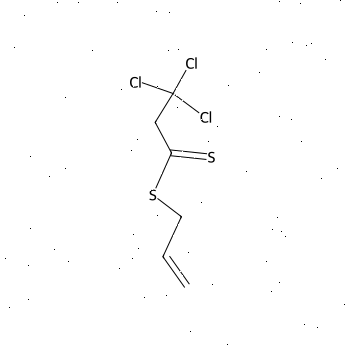 C=CCSC(=S)CC(Cl)(Cl)Cl